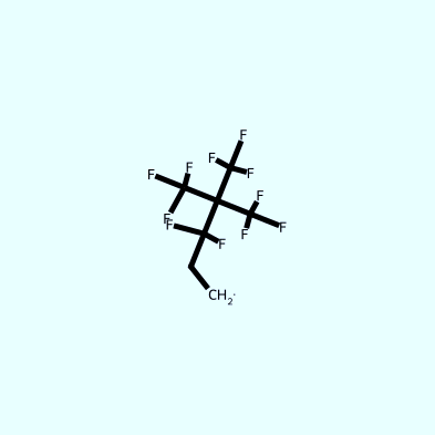 [CH2]CC(F)(F)C(C(F)(F)F)(C(F)(F)F)C(F)(F)F